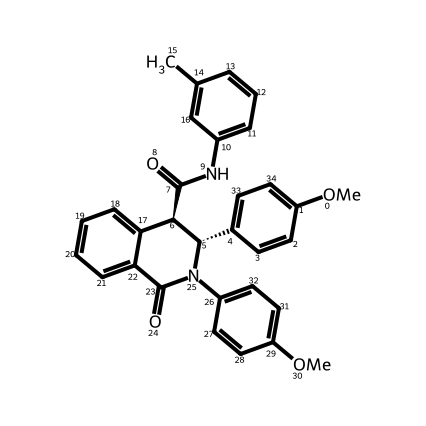 COc1ccc([C@H]2[C@H](C(=O)Nc3cccc(C)c3)c3ccccc3C(=O)N2c2ccc(OC)cc2)cc1